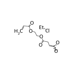 C=CC(=O)OCCOC(=O)CC=S(=O)=O.CCCl